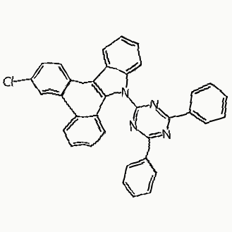 Clc1ccc2c(c1)c1ccccc1c1c2c2ccccc2n1-c1nc(-c2ccccc2)nc(-c2ccccc2)n1